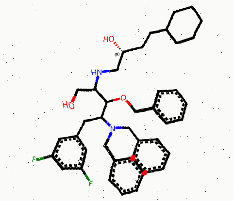 OCC(NC[C@H](O)CCC1CCCCC1)C(OCc1ccccc1)C(Cc1cc(F)cc(F)c1)N(Cc1ccccc1)Cc1ccccc1